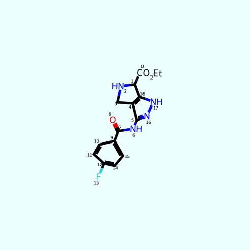 CCOC(=O)C1NCc2c(NC(=O)c3ccc(F)cc3)n[nH]c21